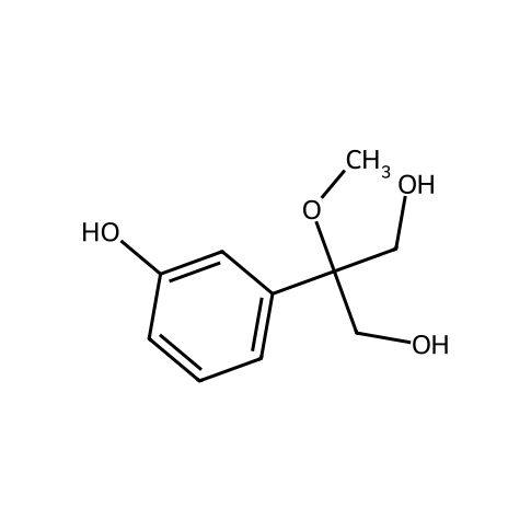 COC(CO)(CO)c1cccc(O)c1